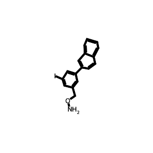 NOCc1cc(I)cc(-c2ccc3ccccc3c2)c1